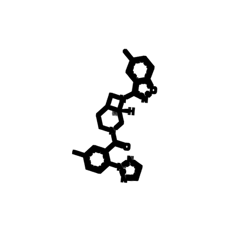 Cc1ccc(-n2nccn2)c(C(=O)N2CCC3CN(c4noc5ccc(C)cc45)[C@@H]3C2)c1